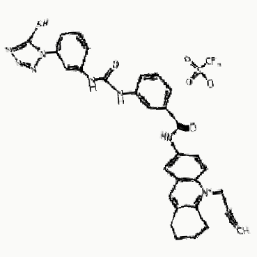 C#CC[n+]1c2c(cc3cc(NC(=O)c4cccc(NC(=O)Nc5cccc(-n6nnnc6S)c5)c4)ccc31)CCCC2.O=S(=O)([O-])C(F)(F)F